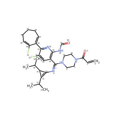 C=CC(=O)N1CCN(/C(=N/C2=C(C(C)C)C2C(C)C)c2cc(F)c(C3=CCCCC=C3F)nc2NC=O)CC1